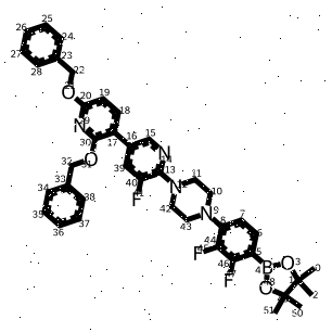 CC1(C)OB(c2ccc(N3CCN(c4ncc(-c5ccc(OCc6ccccc6)nc5OCc5ccccc5)cc4F)CC3)c(F)c2F)OC1(C)C